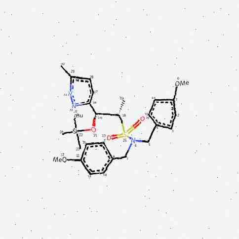 COc1ccc(CN(Cc2ccc(OC)cc2)S(=O)(=O)[C@@H](C)[C@@H](O[Si](C)(C)C(C)(C)C)c2ccc(C)nn2)cc1